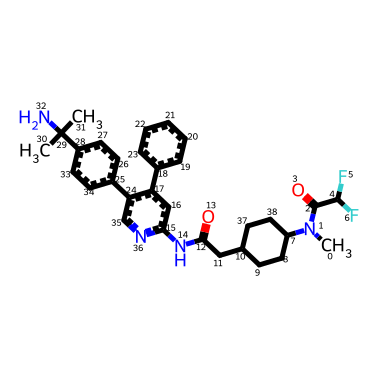 CN(C(=O)C(F)F)C1CCC(CC(=O)Nc2cc(-c3ccccc3)c(-c3ccc(C(C)(C)N)cc3)cn2)CC1